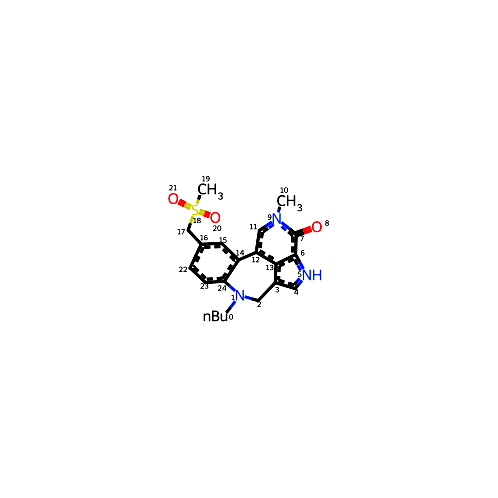 CCCCN1Cc2c[nH]c3c(=O)n(C)cc(c23)-c2cc(CS(C)(=O)=O)ccc21